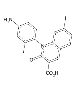 Cc1cc(N)ccc1-n1c(=O)c(C(=O)O)cc2ccc(I)cc21